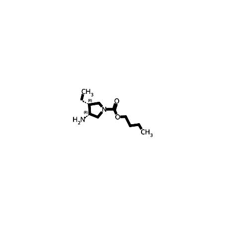 CCCCOC(=O)N1C[C@@H](CC)[C@@H](N)C1